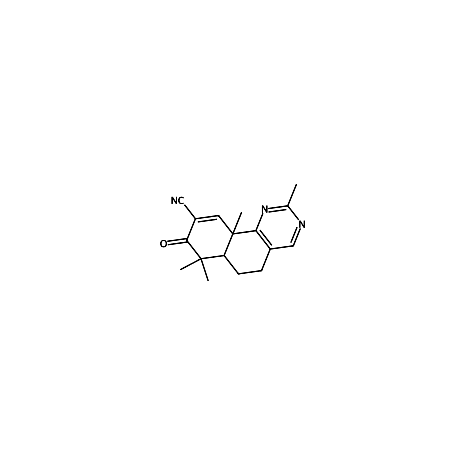 Cc1ncc2c(n1)C1(C)C=C(C#N)C(=O)C(C)(C)C1CC2